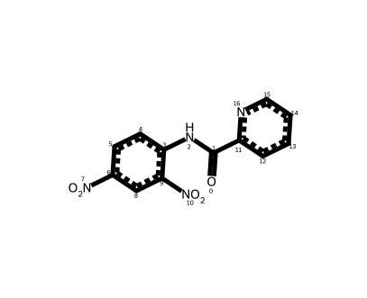 O=C(Nc1ccc([N+](=O)[O-])cc1[N+](=O)[O-])c1ccccn1